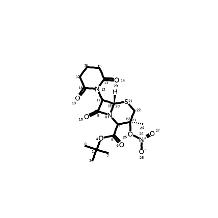 CC(C)(C)OC(=O)C1N2C(=O)C(N3C(=O)CCCC3=O)[C@@H]2SC[C@@]1(C)O[N+](=O)[O-]